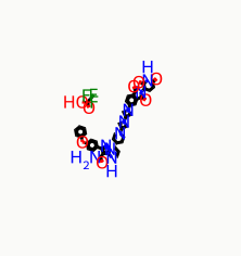 NC(=O)c1c(-c2ccc(Oc3ccccc3)cc2)nn2c1NCC[C@H]2C1CCN(C2CN(C3CN(c4ccc5c(c4)C(=O)N(C4CCC(=O)NC4=O)C5=O)C3)C2)CC1.O=C(O)C(F)(F)F